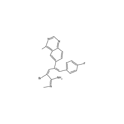 C\N=C(N)/C(Br)=C\C(=C\c1ccc(F)cc1)c1ccc2ncnc(C)c2c1